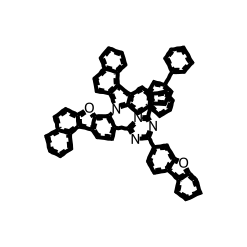 c1ccc(-c2ccc(-c3nc(-c4ccc5c(c4)oc4ccccc45)nc(-c4ccc5c(oc6ccc7ccccc7c65)c4-n4c5cc6ccccc6cc5c5c6ccccc6ccc54)n3)cc2)cc1